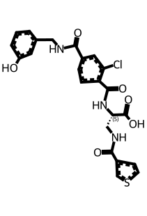 O=C(NCc1cccc(O)c1)c1ccc(C(=O)N[C@@H](CNC(=O)c2ccsc2)C(=O)O)c(Cl)c1